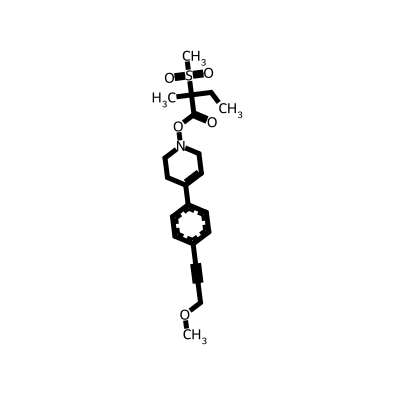 CCC(C)(C(=O)ON1CC=C(c2ccc(C#CCOC)cc2)CC1)S(C)(=O)=O